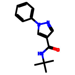 CC(C)(C)NC(=O)c1cnn(-c2ccccc2)c1